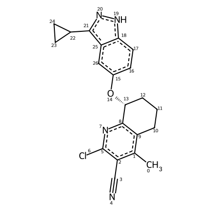 Cc1c(C#N)c(Cl)nc2c1CCC[C@H]2Oc1ccc2[nH]nc(C3CC3)c2c1